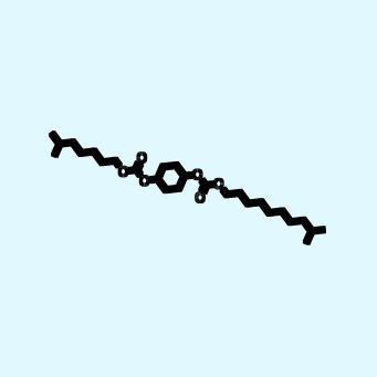 CC(C)CCCCCCCCOC(=O)OC1CCC(OC(=O)OCCCCCC(C)C)CC1